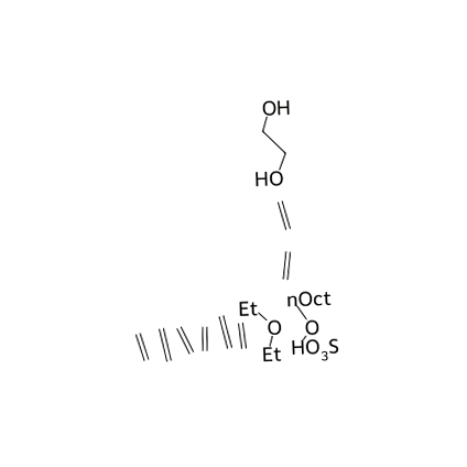 C=C.C=C.C=C.C=C.C=C.C=C.C=C.C=C.CCCCCCCCOS(=O)(=O)O.CCOCC.OCCO